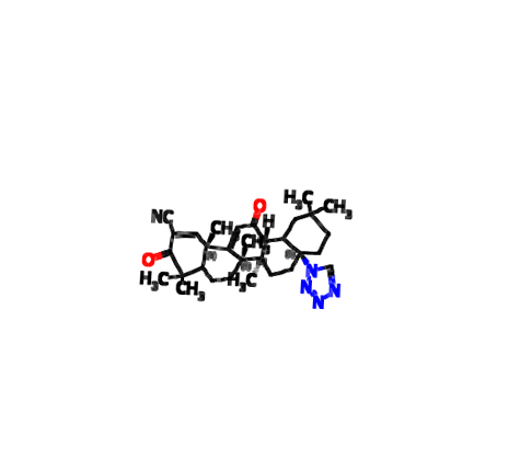 CC1(C)CC[C@]2(n3cnnn3)CC[C@]3(C)[C@H](C(=O)C=C4[C@@]5(C)C=C(C#N)C(=O)C(C)(C)C5CC[C@]43C)C2C1